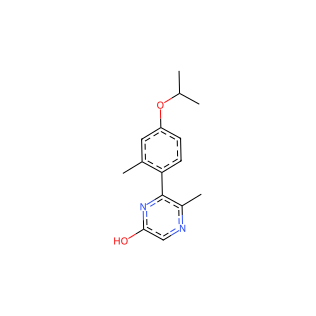 Cc1cc(OC(C)C)ccc1-c1nc(O)cnc1C